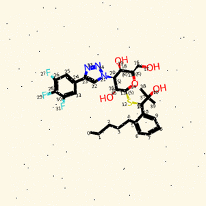 CCCCCc1ccccc1[C@@H](S[C@@H]1O[C@H](CO)[C@H](O)[C@H](n2cc(-c3cc(F)c(F)c(F)c3)nn2)[C@H]1O)C(C)(C)O